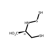 O=C(O)[C@H](CS)NSS